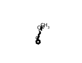 COC(=O)CSCCCOc1ccccc1